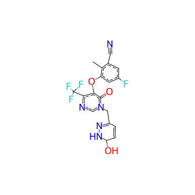 Cc1c(C#N)cc(F)cc1Oc1c(C(F)(F)F)ncn(CC2=NNC(O)C=C2)c1=O